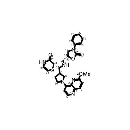 COc1ccc2nccc(N3CCC(CNC[C@@H]4CN(C5=CCCC=C5)C(=O)O4)C3)c2n1.O=C1CSC=CN1